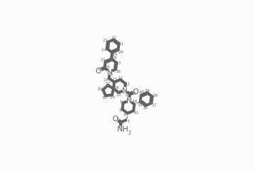 NC(=O)C[C@@H]1CCN(C(=O)N2CCC(Cn3ccc(-c4ccccc4)cc3=O)C3(CCCC3)C2)[C@H](c2ccccc2)C1